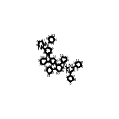 c1ccc(-c2cc(-c3ccccc3)nc(-n3c4ccccc4c4c(-c5ccc6c(c5)c5ccccc5n6-c5ccc6c(c5)c5ncccc5n6-c5ccccc5)c(-c5ccccc5)ccc43)n2)cc1